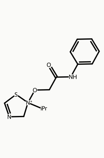 CC(C)[N+]1(OCC(=O)Nc2ccccc2)CN=CS1